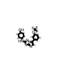 OC1CCC(Nc2nn3c(-c4cccc(OC(F)(F)F)c4)cnc3s2)CC1